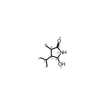 CC(C)C1C(O)NC(=O)C1C